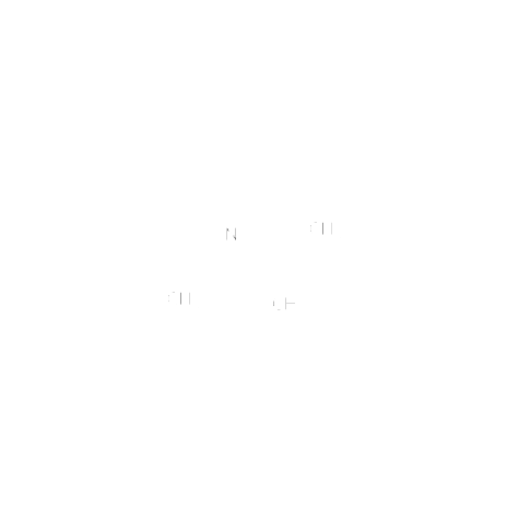 C[CH]Cc1ccccc1N(CCCC)CCCC